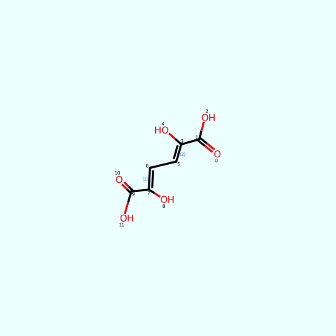 O=C(O)/C(O)=C/C=C(\O)C(=O)O